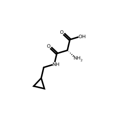 N[C@@H](C(=O)O)C(=O)NCC1CC1